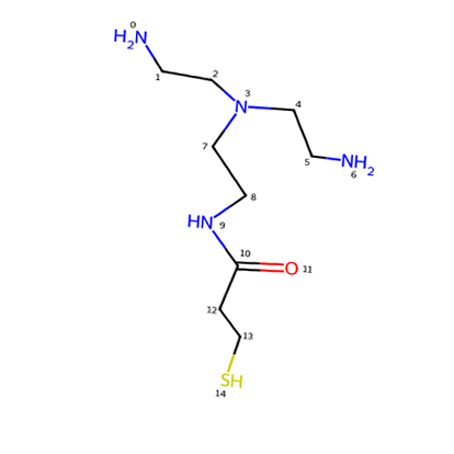 NCCN(CCN)CCNC(=O)CCS